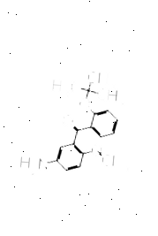 COc1ccc(N)cc1C(=O)c1ccccc1OC(C)(C)C